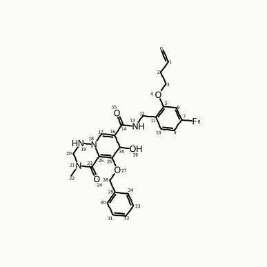 C=CCCOc1cc(F)ccc1CNC(=O)C1=CN2NCN(C)C(=O)C2=C(OCc2ccccc2)C1O